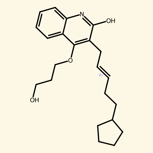 OCCCOc1c(C/C=C/CCC2CCCC2)c(O)nc2ccccc12